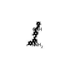 Cc1ccc2c(c1)nc(N)c1ncc(CCc3ccc(C(=O)NCCN4CCCC4)cc3C)cc12